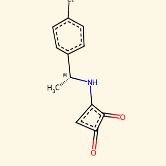 CCc1ccc([C@@H](C)Nc2cc(=O)c2=O)cc1